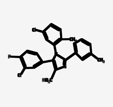 Cc1cccc(-c2nc(C(=O)O)c(-c3ccc(F)c(Cl)c3)n2-c2cc(Cl)ccc2C)c1